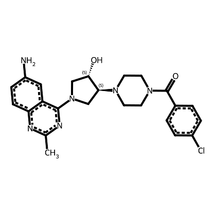 Cc1nc(N2C[C@H](O)[C@@H](N3CCN(C(=O)c4ccc(Cl)cc4)CC3)C2)c2cc(N)ccc2n1